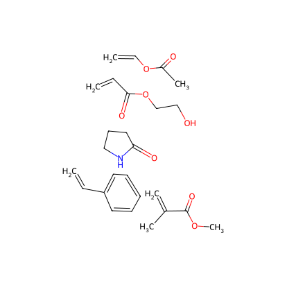 C=C(C)C(=O)OC.C=CC(=O)OCCO.C=COC(C)=O.C=Cc1ccccc1.O=C1CCCN1